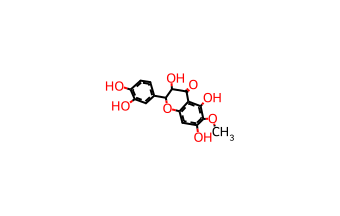 COc1c(O)cc2c(c1O)C(=O)C(O)C(c1ccc(O)c(O)c1)O2